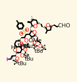 C=C1[C@H](C)C[C@H](CC[C@@H]2O[C@@H](CCC=O)CC2C)O[C@@H]1C[C@@H]1O[C@H](C[C@@H](CO[Si](C)(C)C(C)(C)C)O[Si](C)(C)C(C)(C)C)[C@H](OC)C1C(C(=O)C[C@H]1CC[C@@H]2O[C@@H](C(/C=C/I)O[Si](C)(C)C(C)(C)C)C(O[Si](C)(C)C(C)(C)C)C(O[Si](C)(C)C(C)(C)C)[C@H]2O1)S(=O)(=O)c1ccc(C)cc1